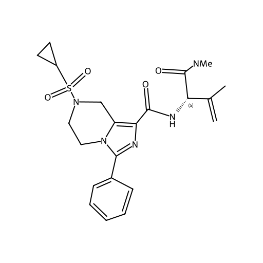 C=C(C)[C@H](NC(=O)c1nc(-c2ccccc2)n2c1CN(S(=O)(=O)C1CC1)CC2)C(=O)NC